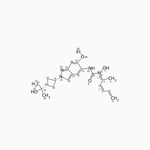 C=C/C=C\C(C)=[N+](\O)C(=O)Nc1cc2cn([C@H]3C[C@@H](C(C)(C)O)C3)nc2cc1OCC